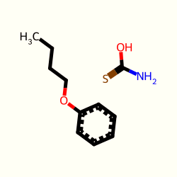 CCCCOc1ccccc1.NC(O)=S